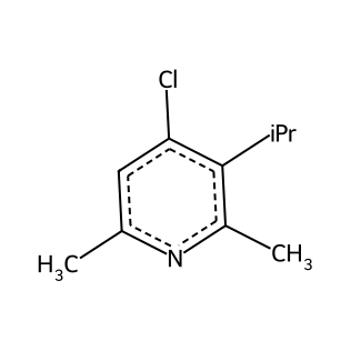 Cc1cc(Cl)c(C(C)C)c(C)n1